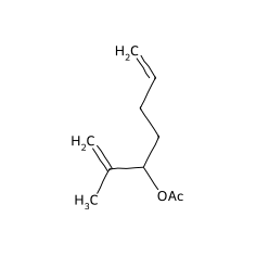 C=CCCC(OC(C)=O)C(=C)C